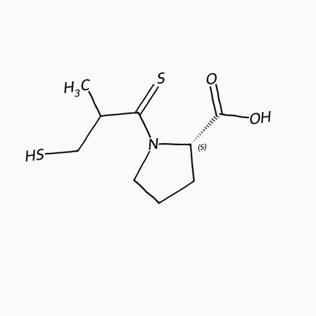 CC(CS)C(=S)N1CCC[C@H]1C(=O)O